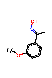 CC(=NO)c1cccc(OC(F)(F)F)c1